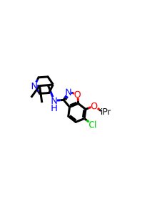 CC(C)Oc1c(Cl)ccc2c(NC3C4CCN(CC4)C3(C)C)noc12